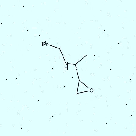 CC(C)CNC(C)C1CO1